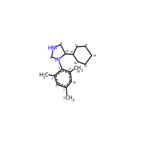 Cc1cc(C)c(N2[C]NCC2C2CCCCC2)c(C)c1